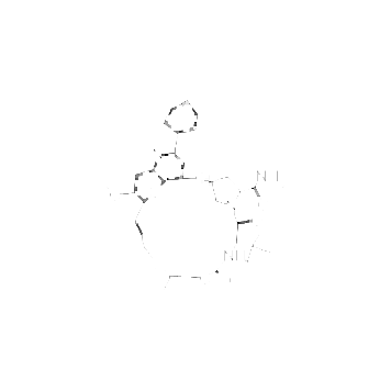 COc1cc2nc(-c3ccccc3)cc3c2cc1/C=C/CCC(C)COC(=O)N[C@@H](C(C)(C)C)C(=O)N1C[C@@H](C[C@H]1C(N)=O)O3